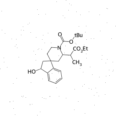 CCOC(=O)C(C)C1CC2(CCN1C(=O)OC(C)(C)C)CC(O)c1ccccc12